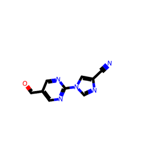 N#Cc1cn(-c2ncc(C=O)cn2)cn1